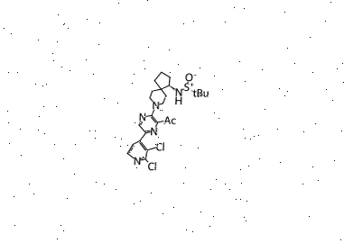 CC(=O)c1nc(-c2ccnc(Cl)c2Cl)cnc1N1CCC2(CCC[C@H]2N[S@+]([O-])C(C)(C)C)CC1